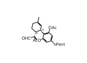 C=C(C=O)[C@@H]1CCC(C)=C[C@H]1c1c(OC(C)=O)cc(CCCCC)cc1OC(C)=O